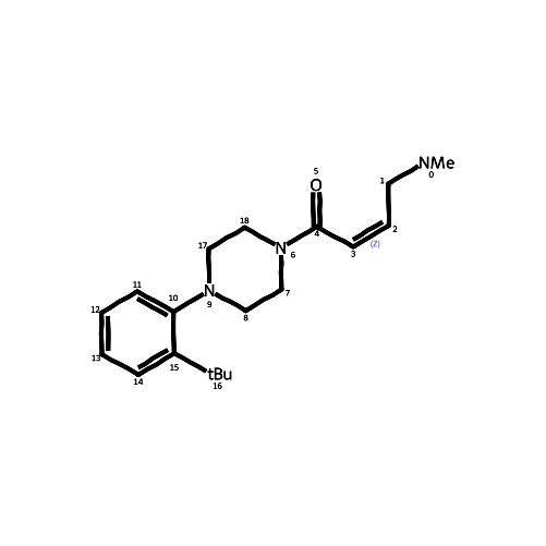 CNC/C=C\C(=O)N1CCN(c2ccccc2C(C)(C)C)CC1